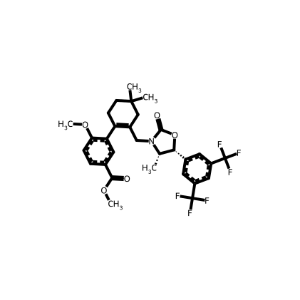 COC(=O)c1ccc(OC)c(C2=C(CN3C(=O)O[C@H](c4cc(C(F)(F)F)cc(C(F)(F)F)c4)[C@@H]3C)CC(C)(C)CC2)c1